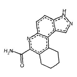 NC(=O)c1nc2ccc3[nH]ncc3c2c2c1CCCC2